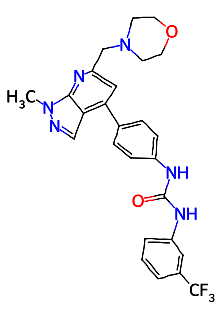 Cn1ncc2c(-c3ccc(NC(=O)Nc4cccc(C(F)(F)F)c4)cc3)cc(CN3CCOCC3)nc21